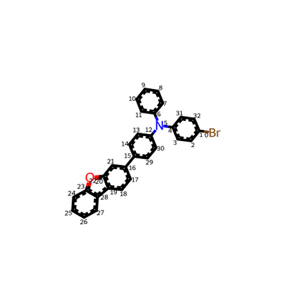 Brc1ccc(N(c2ccccc2)c2ccc(-c3ccc4c(c3)oc3ccccc34)cc2)cc1